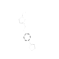 OC1CCN(CCc2ccc(N3CCCC3)cc2)C1